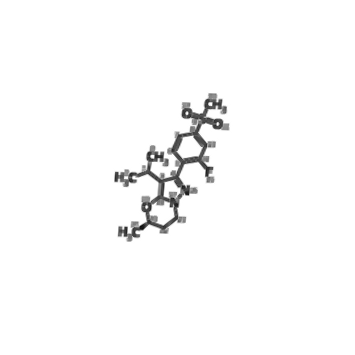 CC(C)c1c(-c2ccc(S(C)(=O)=O)cc2F)nn2c1O[C@H](C)CC2